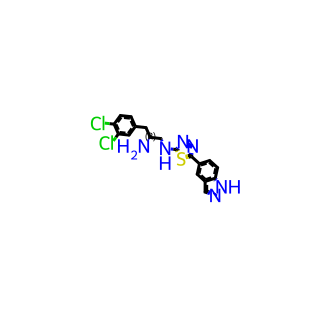 N[C@@H](CNc1nnc(-c2ccc3[nH]ncc3c2)s1)Cc1ccc(Cl)c(Cl)c1